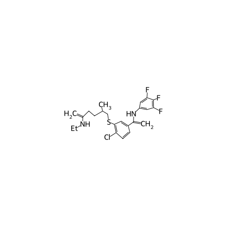 C=C(CCC(C)CSc1cc(C(=C)Nc2cc(F)c(F)c(F)c2)ccc1Cl)NCC